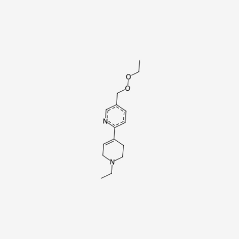 CCOOCc1ccc(C2=CCN(CC)CC2)nc1